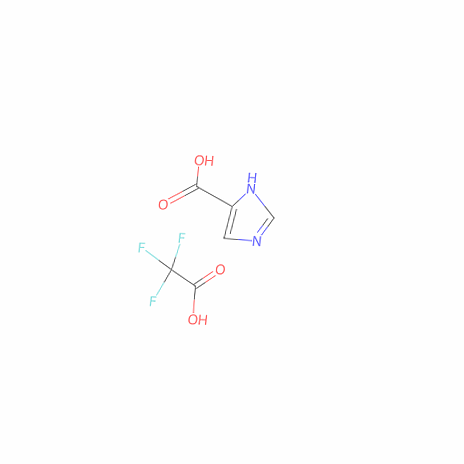 O=C(O)C(F)(F)F.O=C(O)c1cnc[nH]1